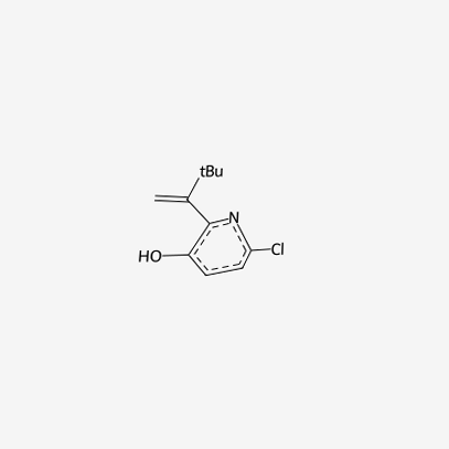 C=C(c1nc(Cl)ccc1O)C(C)(C)C